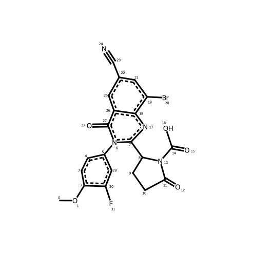 COc1ccc(-n2c(C3CCC(=O)N3C(=O)O)nc3c(Br)cc(C#N)cc3c2=O)cc1F